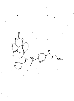 COCC(=O)Nc1ccc(C(=O)N[C@@H](Cc2ccccc2)C(=O)N2CCC[C@@]3(C2)OC(=O)Nc2ccc(Cl)c(F)c23)cc1